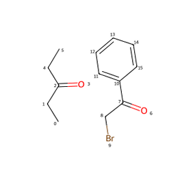 CCC(=O)CC.O=C(CBr)c1ccccc1